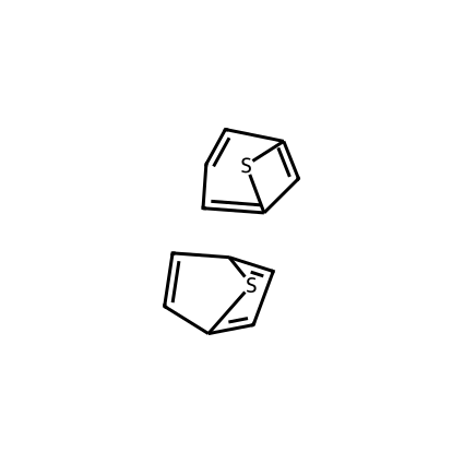 c1cc2cc(c1)S2.c1cc2ccc1s2